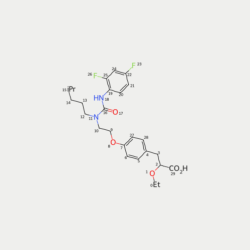 CCOC(Cc1ccc(OCCN(CCCC(C)C)C(=O)Nc2ccc(F)cc2F)cc1)C(=O)O